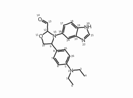 CCN(CC)c1ccc(C2COC(C=O)N2c2ccc3[nH]cnc3c2)cc1